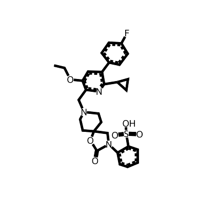 CCOc1cc(-c2ccc(F)cc2)c(C2CC2)nc1CN1CCC2(CC1)CN(c1ccccc1S(=O)(=O)O)C(=O)O2